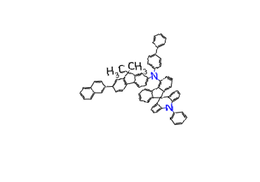 CC1(C)c2cc(-c3ccc4ccccc4c3)ccc2-c2ccc(N(c3ccc(-c4ccccc4)cc3)c3cccc4c3-c3ccccc3C43c4ccccc4N(c4ccccc4)c4ccccc43)cc21